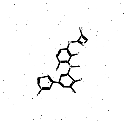 CCC1=CN=C1Oc1ccc(F)c(N(C)c2cc(-c3cccc(F)c3)cc(C)c2F)c1F